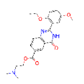 CCOc1ccc(OC)cc1-c1nc2ccc(C(=O)OCCN(C)C)cc2c(=O)[nH]1